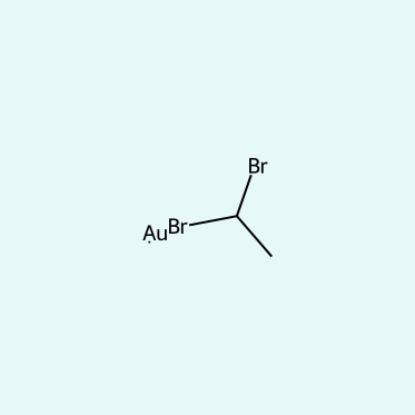 CC(Br)Br.[Au]